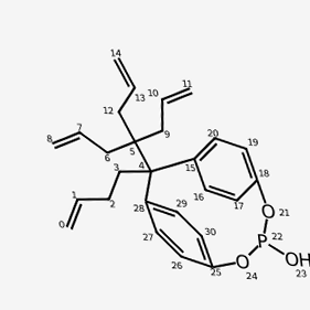 C=CCCC1(C(CC=C)(CC=C)CC=C)c2ccc(cc2)OP(O)Oc2ccc1cc2